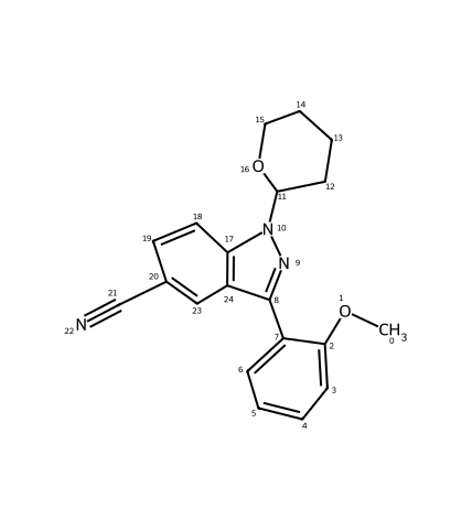 COc1ccccc1-c1nn(C2CCCCO2)c2ccc(C#N)cc12